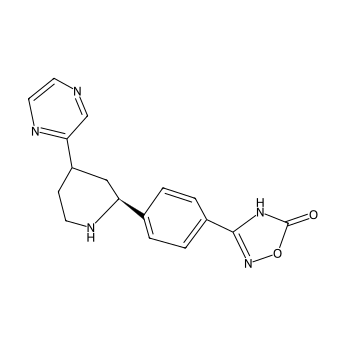 O=c1[nH]c(-c2ccc([C@@H]3CC(c4cnccn4)CCN3)cc2)no1